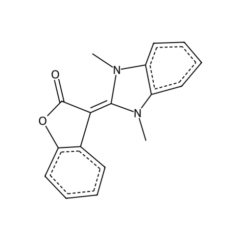 CN1C(=C2C(=O)Oc3ccccc32)N(C)c2ccccc21